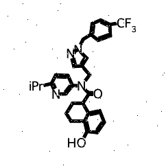 CC(C)c1ccc(N(Cc2cnn(Cc3ccc(C(F)(F)F)cc3)c2)C(=O)C2CCCc3c(O)cccc32)cn1